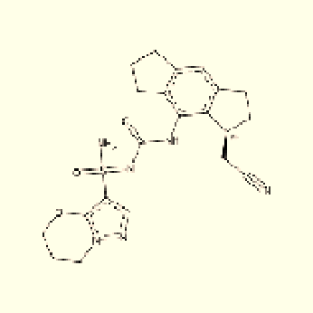 N#CC[C@@H]1CCc2cc3c(c(NC(=O)N=S(N)(=O)c4cnn5c4OCCC5)c21)CCC3